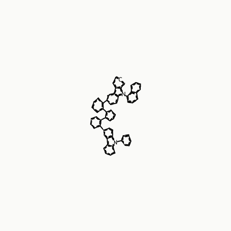 c1ccc(-n2c3ccccc3c3cc(-c4ccccc4-c4ccccc4-c4ccccc4-c4ccc5c(c4)c4ccccc4n5-c4cccc5ccccc45)ccc32)cc1